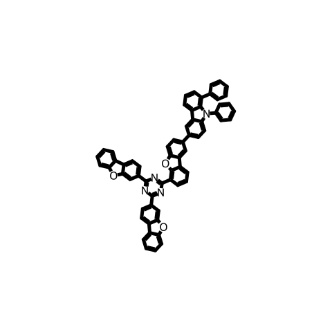 c1ccc(-c2cccc3c4cc(-c5ccc6oc7c(-c8nc(-c9ccc%10c(c9)oc9ccccc9%10)nc(-c9ccc%10c(c9)oc9ccccc9%10)n8)cccc7c6c5)ccc4n(-c4ccccc4)c23)cc1